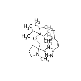 CC(C)[Si](OCC1(c2nnc3ccc(F)cn23)CCCN1C)(C(C)C)C(C)C